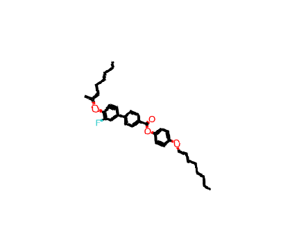 CCCCCCCCOc1ccc(OC(=O)c2ccc(-c3ccc(OC(C)CCCCCC)c(F)c3)cc2)cc1